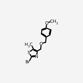 COc1ccc(COCc2nc(Br)sc2C)cc1